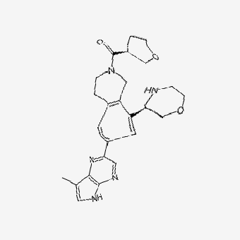 Cc1c[nH]c2ncc(-c3cc4c(c([C@@H]5COCCN5)c3)CN(C(=O)[C@H]3CCOC3)CC4)nc12